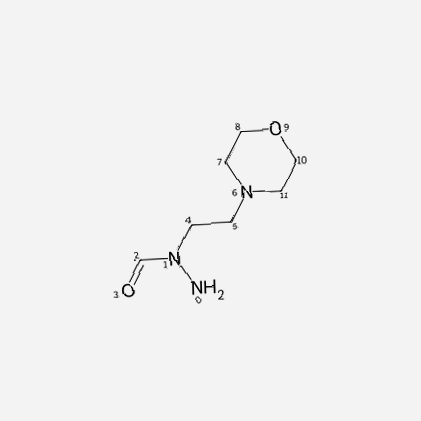 NN([C]=O)CCN1CCOCC1